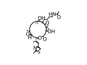 CC(=O)NCCCC[C@H]1C(=O)C(C)(C)[C@@H](O)CC(=O)O[C@H](/C(C)=C/c2csc(C)n2)C[C@@H]2OC2(C)CCC[C@H](C)[C@@H]1O